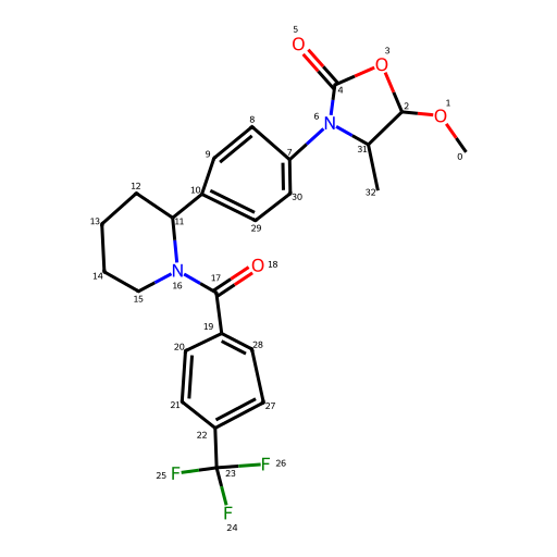 COC1OC(=O)N(c2ccc(C3CCCCN3C(=O)c3ccc(C(F)(F)F)cc3)cc2)C1C